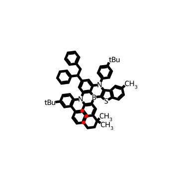 Cc1ccc2sc3c(c2c1)N(c1ccc(C(C)(C)C)cc1)c1cc(C(Cc2ccccc2)C2=CCCC=C2)cc2c1B3c1cc3c(cc1N2c1ccc(C(C)(C)C)cc1-c1ccccc1)CCCC3(C)C